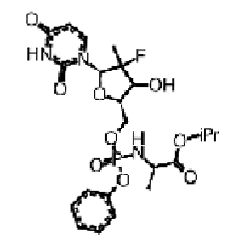 CC(C)OC(=O)[C@@H](C)NP(=O)(OC[C@H]1O[C@@H](n2ccc(=O)[nH]c2=O)C(C)(F)C1O)Oc1ccccc1